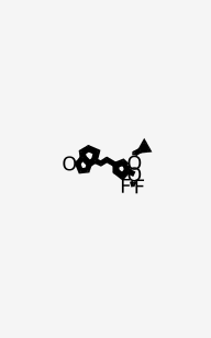 O=C1CCc2c(CCc3ccc(OC(F)F)c(OCC4CC4)c3)cccc21